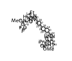 CC[C@@H]1CCN(C(=O)[C@H](CCOC(F)F)NC(=O)OC)[C@@H]1c1ncc(-c2ccc(-c3ccc4cc(-c5cnc([C@@H]6CC7(CC7)CN6C(=O)C(NC(=O)OC)C(C)C)[nH]5)ccc4c3)cc2)[nH]1